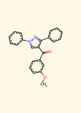 COc1cccc(C(=O)c2cn(-c3ccccc3)nc2-c2ccccc2)c1